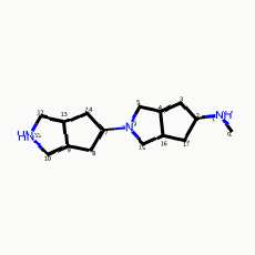 CNC1CC2CN(C3CC4CNCC4C3)CC2C1